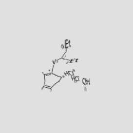 CC[CH](CC)[V][C]1=CC=CC1.Cl.Cl.Cl